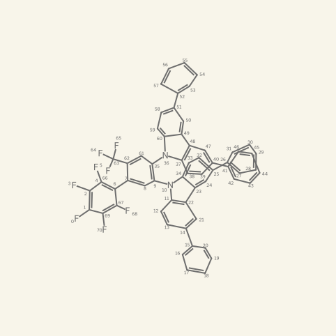 Fc1c(F)c(F)c(-c2cc(-n3c4ccc(-c5ccccc5)cc4c4cc(-c5ccccc5)ccc43)c(-n3c4ccc(-c5ccccc5)cc4c4cc(-c5ccccc5)ccc43)cc2C(F)(F)F)c(F)c1F